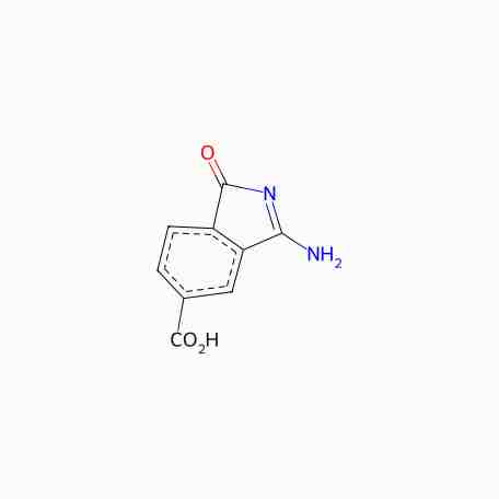 NC1=NC(=O)c2ccc(C(=O)O)cc21